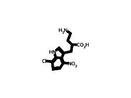 NCCC(Cc1c[nH]c2c(Cl)ccc([N+](=O)[O-])c12)C(=O)O